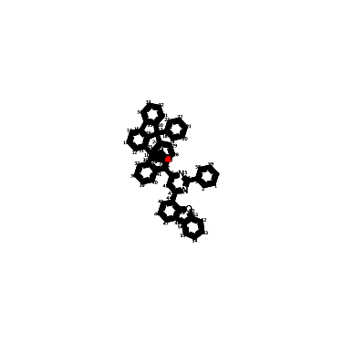 c1ccc(-c2nc(-c3ccc(-c4cccc5c4C(c4ccccc4)(c4ccccc4)c4ccccc4-5)c4ccccc34)cc(-c3cccc4c3oc3ccccc34)n2)cc1